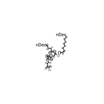 CCCCCCCCCCCCCCCC/C=C\OC[C@H](COP(=O)([O-])OCC[N+](C)(C)C)OC(=O)CCCCCCCCCCCCC